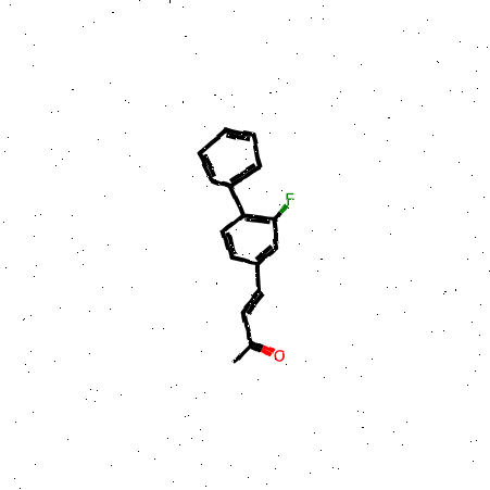 CC(=O)C=Cc1ccc(-c2ccccc2)c(F)c1